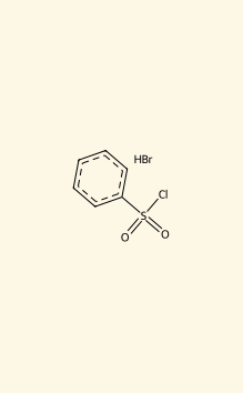 Br.O=S(=O)(Cl)c1ccccc1